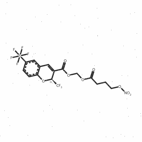 O=C(CCCO[N+](=O)[O-])OCOC(=O)C1=Cc2cc(S(F)(F)(F)(F)F)ccc2O[C@@H]1C(F)(F)F